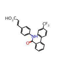 O=C(O)C=Cc1ccc(NC(=O)c2ccccc2-c2ccc(C(F)(F)F)cc2)cc1